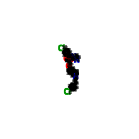 Clc1ccc(CCCN2CCc3cc(OCC4COC(Cn5ccnc5)(c5ccc(Cl)cc5)O4)ccc3C2)cc1